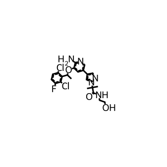 CC(Oc1cc(-c2cnn(C(C)(C)C(=O)NCCO)c2)cnc1N)c1c(Cl)ccc(F)c1Cl